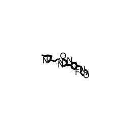 Cc1ccc(CCn2ncc3c4cc(F)c(CN5CCOCC5)cc4n(C)c3c2=O)cn1